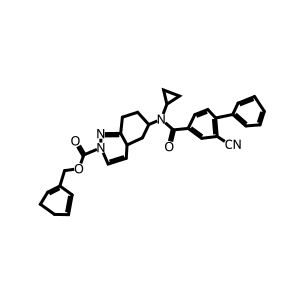 N#Cc1cc(C(=O)N(C2CC2)C2CCC3=NN(C(=O)OCC4=CCCC=C4)C=CC3C2)ccc1-c1ccccc1